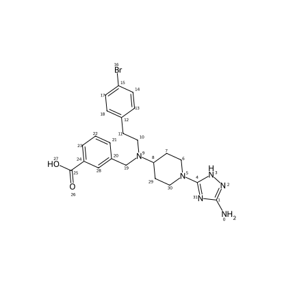 Nc1n[nH]c(N2CCC(N(CCc3ccc(Br)cc3)Cc3cccc(C(=O)O)c3)CC2)n1